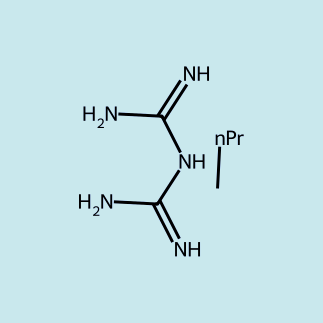 CCCC.N=C(N)NC(=N)N